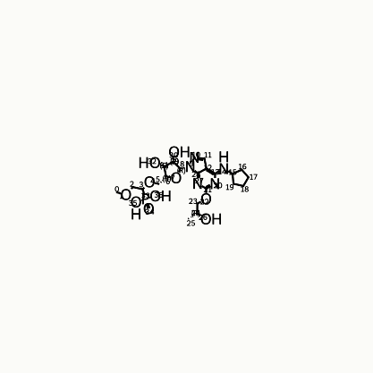 COCC(OC[C@H]1O[C@@H](n2ncc3c(NC4CCCC4)nc(OC[C@@H](C)O)nc32)[C@H](O)[C@@H]1O)P(=O)(O)O